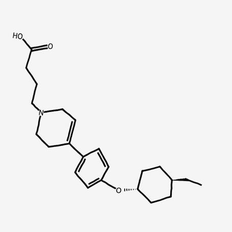 CC[C@H]1CC[C@H](Oc2ccc(C3=CCN(CCCC(=O)O)CC3)cc2)CC1